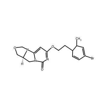 CC1C=C(Br)C=CC1CCOc1cc2n(c(=O)n1)C[C@H]1COCN21